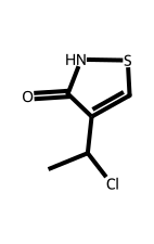 CC(Cl)c1cs[nH]c1=O